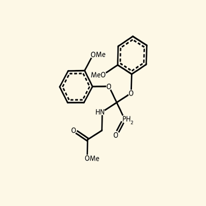 COC(=O)CNC(Oc1ccccc1OC)(Oc1ccccc1OC)[PH2]=O